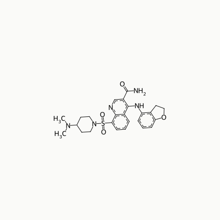 CN(C)C1CCN(S(=O)(=O)c2cccc3c(Nc4cccc5c4CCO5)c(C(N)=O)cnc23)CC1